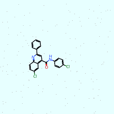 O=C(Nc1ccc(Cl)cc1)c1cc(-c2ccccc2)nc2ccc(Cl)cc12